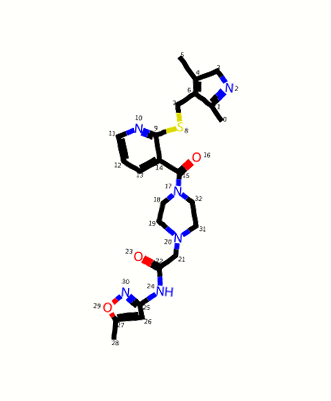 CC1=NCC(C)=C1CSc1ncccc1C(=O)N1CCN(CC(=O)Nc2cc(C)on2)CC1